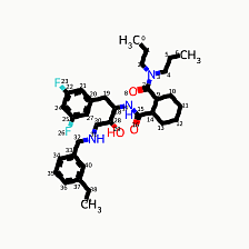 CCCN(CCC)C(=O)C1CCCCC1C(=O)NC(Cc1cc(F)cc(F)c1)C(O)CNCc1cccc(CC)c1